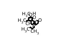 C=C(C)c1cc(OC)c(O)c2c1CC1C3CCC(=O)C[C@@]23CCN1CC(C)CC